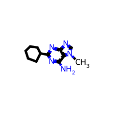 Cn1cnc2nc(C3CCCCC3)nc(N)c21